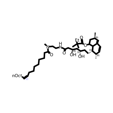 CCCCCCCC/C=C\CCCCCCCC(=O)N(C)CCNC(=O)C[C@H](O)C[C@@H](O)CC[C@@H]1C2C(=C[C@H](C)CC2OC(=O)C(C)(C)CC)C=C[C@@H]1C